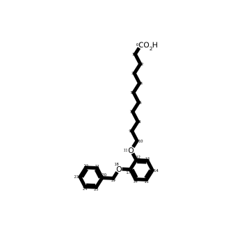 O=C(O)CCCCCCCCCCOc1ccccc1OCc1ccccc1